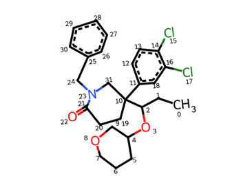 CCC(OC1CCCOC1)C1(c2ccc(Cl)c(Cl)c2)CCC(=O)N(Cc2ccccc2)C1